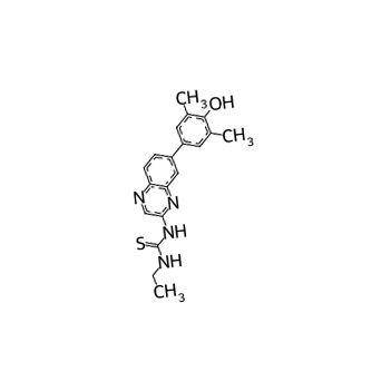 CCNC(=S)Nc1cnc2ccc(-c3cc(C)c(O)c(C)c3)cc2n1